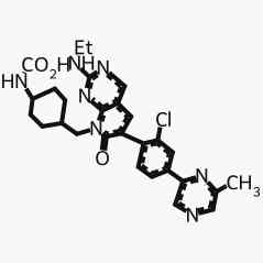 CCNc1ncc2cc(-c3ccc(-c4cncc(C)n4)cc3Cl)c(=O)n(CC3CCC(NC(=O)O)CC3)c2n1